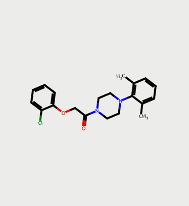 Cc1cccc(C)c1N1[CH]CN(C(=O)COc2ccccc2Cl)CC1